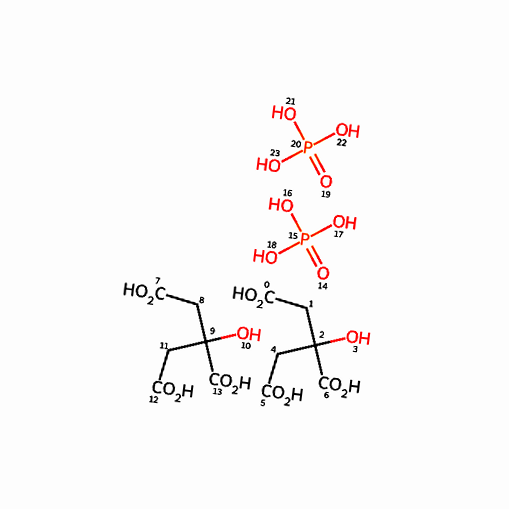 O=C(O)CC(O)(CC(=O)O)C(=O)O.O=C(O)CC(O)(CC(=O)O)C(=O)O.O=P(O)(O)O.O=P(O)(O)O